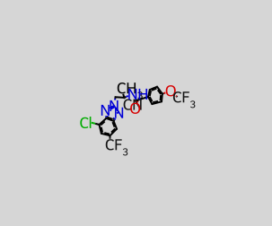 CC(C#N)(Cn1nc2cc(C(F)(F)F)cc(Cl)c2n1)NC(=O)c1ccc(OC(F)(F)F)cc1